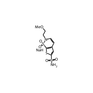 COCCN1C=Cc2cc(S(N)(=O)=O)sc2S1(=O)=O.[NaH]